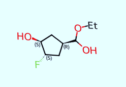 CCOC(O)[C@@H]1C[C@H](O)[C@@H](F)C1